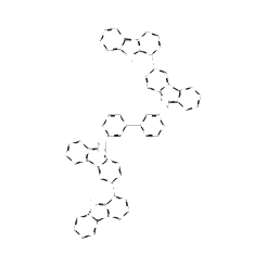 c1cc(-c2cccc(-n3c4ccccc4c4cc(-c5cccc6c5sc5ccccc56)ccc43)c2)cc(-n2c3ccccc3c3cc(-c4cccc5c4sc4ccccc45)ccc32)c1